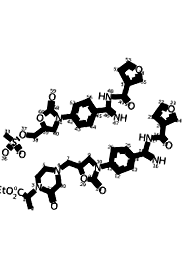 CCOC(=O)C(C)N1CCN(CC2CN(c3ccc(C(=N)NC(=O)c4ccoc4)cc3)C(=O)O2)CC1=O.CS(=O)(=O)OCC1CN(c2ccc(C(=N)NC(=O)c3ccoc3)cc2)C(=O)O1